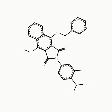 CCCOc1c2c(c(OCc3ccccc3)c3ccccc13)C(=O)N(c1ccc(C(CC)C(=O)O)c(F)c1)C2=O